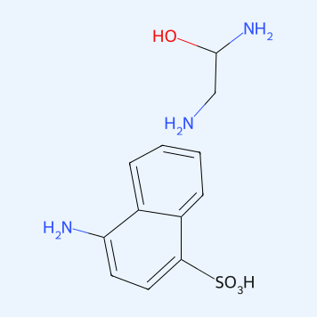 NCC(N)O.Nc1ccc(S(=O)(=O)O)c2ccccc12